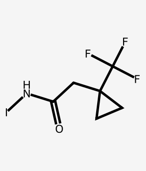 O=C(CC1(C(F)(F)F)CC1)NI